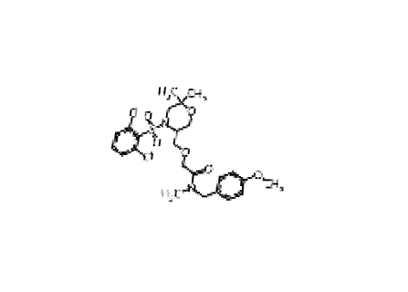 COc1ccc(CN(C)C(=O)COC[C@@H]2COC(C)(C)CN2S(=O)(=O)c2c(Cl)cccc2Cl)cc1